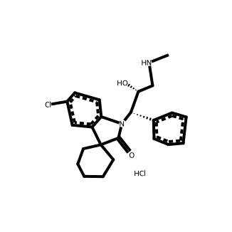 CNC[C@@H](O)[C@H](c1ccccc1)N1C(=O)C2(CCCCC2)c2cc(Cl)ccc21.Cl